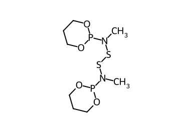 CN(SSN(C)P1OCCCO1)P1OCCCO1